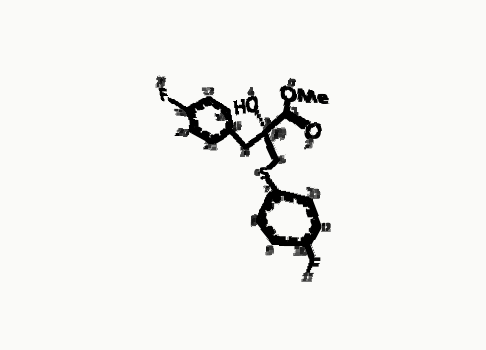 COC(=O)[C@@](O)(CSc1ccc(F)cc1)Cc1ccc(F)cc1